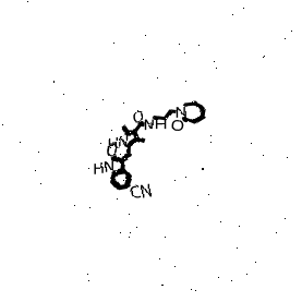 Cc1[nH]c(/C=C2\C(=O)Nc3ccc(C#N)cc32)c(C)c1C(=O)NCCCN1CCCCCC1=O